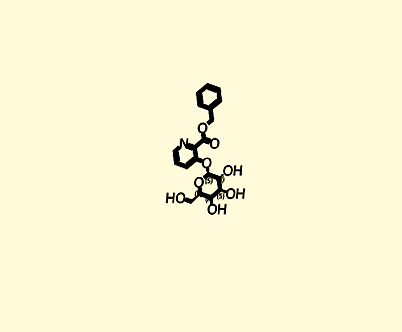 O=C(OCc1ccccc1)c1ncccc1O[C@@H]1O[C@H](CO)[C@H](O)[C@H](O)[C@H]1O